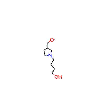 [O]CC1CCN(CCCCO)C1